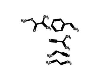 C=C(C)C#N.C=C(C)C(=O)OC.C=CC#N.C=CC=C.C=Cc1ccccc1